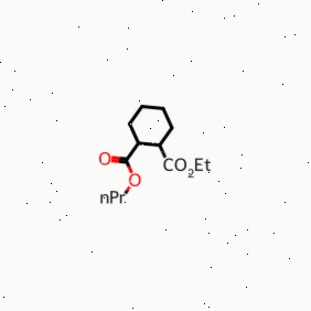 CCCOC(=O)C1CCCCC1C(=O)OCC